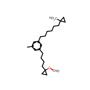 Cc1cc(CCCCCCC2(C(=O)O)CC2)cc(CCCCC2(OC=O)CC2)c1